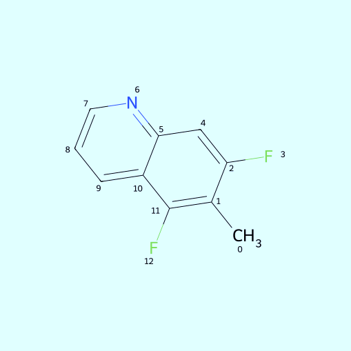 Cc1c(F)cc2ncccc2c1F